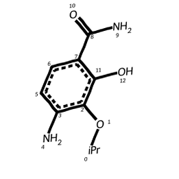 CC(C)Oc1c(N)ccc(C(N)=O)c1O